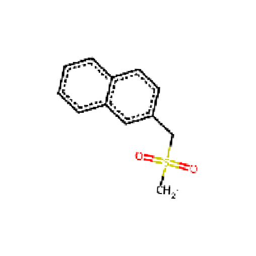 [CH2]S(=O)(=O)Cc1ccc2ccccc2c1